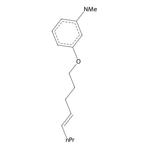 CCC/C=C/CCCOc1cccc(NC)c1